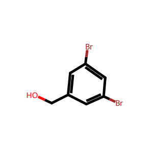 OCc1cc(Br)cc(Br)c1